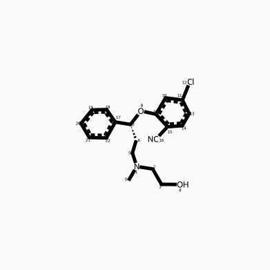 CN(CCO)CC[C@@H](Oc1cc(Cl)ccc1C#N)c1ccccc1